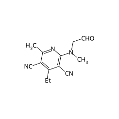 CCc1c(C#N)c(C)nc(N(C)CC=O)c1C#N